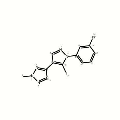 Cn1nnc(-c2cnn(-c3cccc(Br)c3)c2I)n1